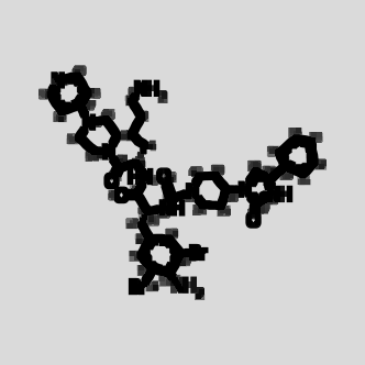 NCCCC[C@H](NC(=O)[C@@H](Cc1cc(Br)c(N)c(Br)c1)NC(=O)N1CCC(n2cc(-c3ccccc3)[nH]c2=O)CC1)C(=O)N1CCN(c2ccncc2)CC1